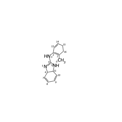 CC1=C(NC2=NC3C=CC=CC3N2)C=CCC1